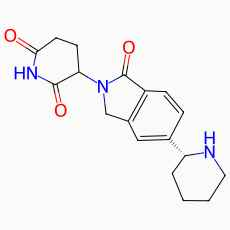 O=C1CCC(N2Cc3cc([C@H]4CCCCN4)ccc3C2=O)C(=O)N1